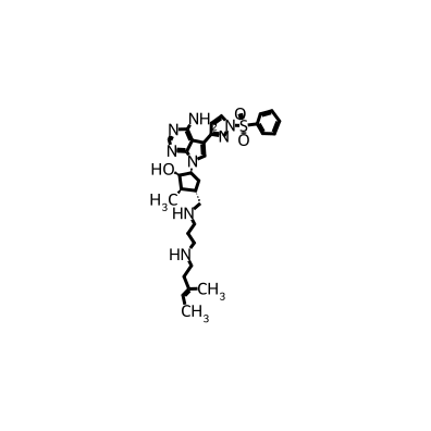 C/C=C(\C)CCNCCCNC[C@H]1C[C@@H](n2cc(-c3ccn(S(=O)(=O)c4ccccc4)n3)c3c(N)ncnc32)[C@H](O)[C@@H]1C